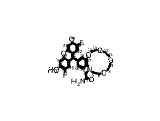 NC(=O)CN1CCOCCOCCOCCOc2cc(-c3c4cc(F)c(=O)cc-4oc4cc(O)c(F)cc34)ccc21